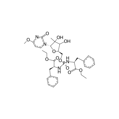 CCOC(=O)[C@H](Cc1ccccc1)NP(=O)(N[C@@H](Cc1ccccc1)C(=O)OCC)OC[C@H]1O[C@H](n2ccc(OC)nc2=O)C(C)(O)C1O